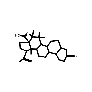 C=C(C)C1CCC2(C(=O)O)C1(C)C1CCC3C4CCC(=O)CC4CCC3C1C(C)(C)C2(C)C